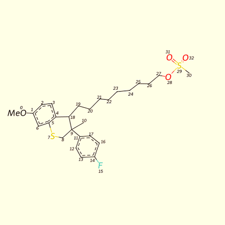 COc1ccc2c(c1)SCC(C)(c1ccc(F)cc1)C2CCCCCCCCCOS(C)(=O)=O